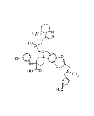 C[C@@H](COc1ccnc2c1[C@H](C)CCC2)C[C@H]1Cc2cc3c(cc2C12CCC(Nc1cccc(Cl)c1)(C(=O)O)CC2)OCC(CN(C)Cc1ccn(C)c1)CO3